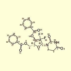 O=C1CCN([C@@H]2O[C@H](COC(=O)c3ccccc3)[C@@H](OC(=O)c3ccccc3)C2(F)F)C(=O)N1